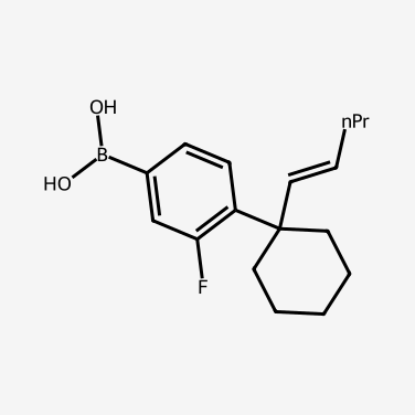 CCCC=CC1(c2ccc(B(O)O)cc2F)CCCCC1